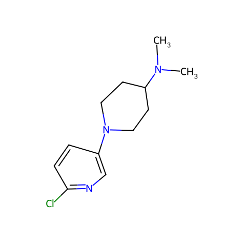 CN(C)C1CCN(c2ccc(Cl)nc2)CC1